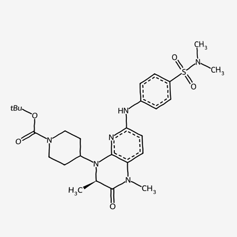 C[C@@H]1C(=O)N(C)c2ccc(Nc3ccc(S(=O)(=O)N(C)C)cc3)nc2N1C1CCN(C(=O)OC(C)(C)C)CC1